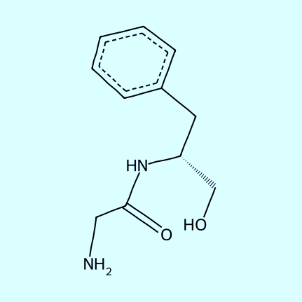 NCC(=O)N[C@@H](CO)Cc1ccccc1